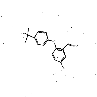 CC(C)(C)c1ccc(Oc2ccc(Br)cc2C=O)cc1